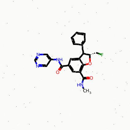 CNC(=O)c1cc(C(=O)Nc2cncnc2)cc2c1O[C@@H](CF)C2c1ccccc1